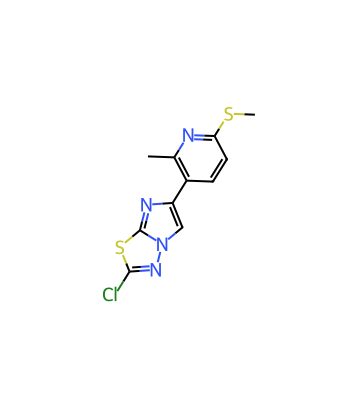 CSc1ccc(-c2cn3nc(Cl)sc3n2)c(C)n1